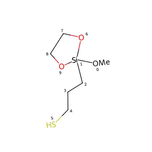 CO[Si]1(CCCS)OCCO1